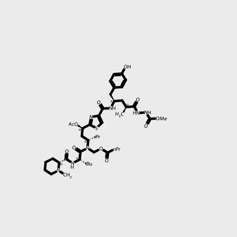 CCCC(=O)OCN(C(=O)[C@@H](NC(=O)[C@H]1CCCCN1C)C(C)CC)[C@H](C[C@@H](OC(C)=O)c1nc(C(=O)N[C@@H](Cc2ccc(O)cc2)C[C@H](C)C(=O)NNC(=O)OC)cs1)C(C)C